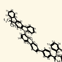 C=C(c1ccc(-c2ccc3c(c2)oc2c(-n4c5ccccc5c5cc6c(cc54)C(C)(C)c4ccccc4-6)cccc23)cc1)N(c1ccccc1)c1ccccc1C